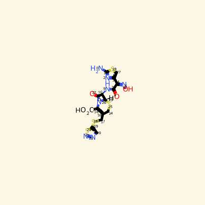 Nc1nc(/C(=N/O)C(=O)N[C@@H]2C(=O)N3C(C(=O)O)=C(CSc4cnns4)CS[C@H]23)cs1